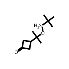 CC(C)(C)[SiH2]OC(C)(C)C1CC(=O)C1